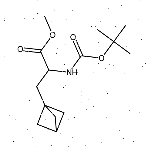 COC(=O)C(CC12CC(C1)C2)NC(=O)OC(C)(C)C